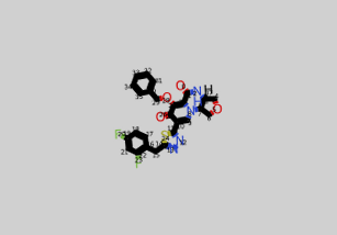 O=C1N[C@@H]2COCC2n2cc(-c3nnc(Cc4ccc(F)cc4F)s3)c(=O)c(OCc3ccccc3)c21